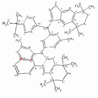 Cc1cccc(N(c2cc(C)cc(N(c3ccc(C(C)(C)C)cc3)c3csc4cc5c(cc34)C(C)(C)CCC5(C)C)c2)c2cc3c(cc2-c2ccccc2)C(C)(C)CCC3(C)C)c1